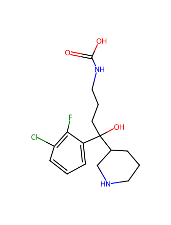 O=C(O)NCCCC(O)(c1cccc(Cl)c1F)C1CCCNC1